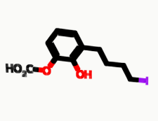 O=C(O)Oc1cccc(CCCCI)c1O